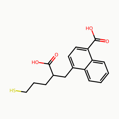 O=C(O)c1ccc(CC(CCCS)C(=O)O)c2ccccc12